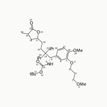 COCCCOc1cc([C@H](NC(=O)OC(C)(C)C)C(CCC2CC(C)C(=O)O2)(C(C)C)C(C)C)ccc1OC